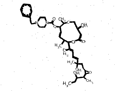 CCC(O)C(C)C1OC1CC(C)(O)/C=C/C=C(\C)C1OC(=O)CC(O)CCC(C)C(OC(=O)N2CCN(Cc3ccccc3)CC2)/C=C/C1C